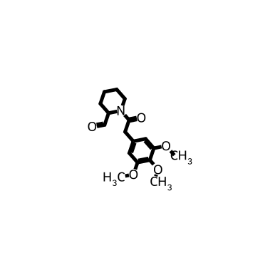 COc1cc(CC(=O)N2CCCCC2C=O)cc(OC)c1OC